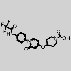 O=C(O)N1CCC(Oc2ccn(-c3ccc(NC(=O)C(F)(F)F)cc3)c(=O)c2)CC1